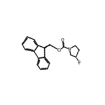 O=C(OCC1c2ccccc2-c2ccccc21)N1CC[C@@H](F)C1